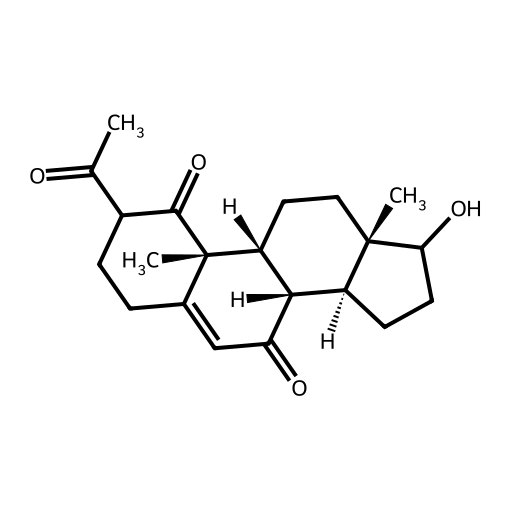 CC(=O)C1CCC2=CC(=O)[C@@H]3[C@@H](CC[C@]4(C)C(O)CC[C@@H]34)[C@@]2(C)C1=O